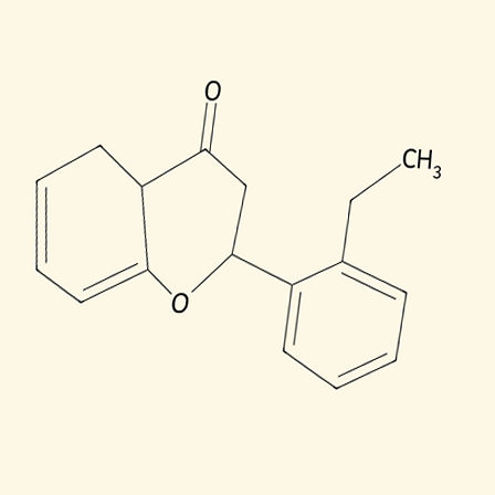 CCc1ccccc1C1CC(=O)C2CC=CC=C2O1